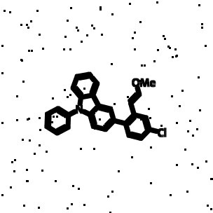 COC=Cc1cc(Cl)ccc1-c1ccc2c(c1)c1ccccc1n2-c1ccccc1